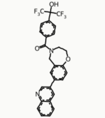 O=C(c1ccc(C(O)(C(F)(F)F)C(F)(F)F)cc1)N1CCOc2ccc(-c3cnc4ccccc4c3)cc2C1